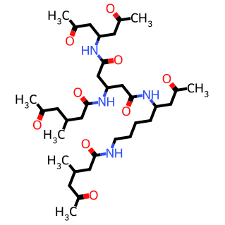 CC(=O)CC(C)CC(=O)NCCCCC(CC(C)=O)NC(=O)CC(CC(=O)NC(CC(C)=O)CC(C)=O)NC(=O)CC(C)CC(C)=O